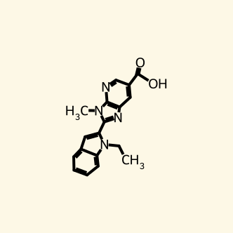 CCn1c(-c2nc3cc(C(=O)O)cnc3n2C)cc2ccccc21